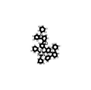 c1ccc(-c2nc(-c3ccccc3)nc(-c3cc(-c4c(-c5ccccc5)cccc4-c4ccccc4)ccc3-c3cccc4c3oc3ccc5c(c6ccccc6n5-c5ccccc5)c34)n2)cc1